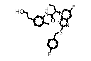 CCC(C(=O)Nc1cc(CCO)ccc1C)n1cc(F)cc2nc(SCc3ccc(F)cc3)nc1-2